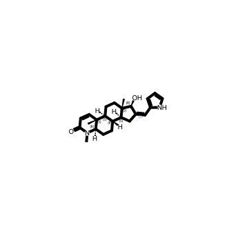 CN1C(=O)C=C[C@]2(C)[C@H]3CC[C@]4(C)[C@@H](O)/C(=C\c5ccc[nH]5)C[C@H]4[C@@H]3CC[C@@H]12